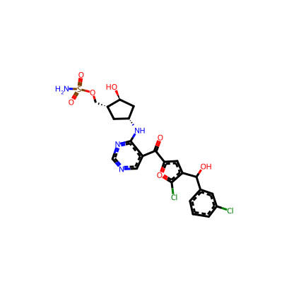 NS(=O)(=O)OC[C@H]1C[C@@H](Nc2ncncc2C(=O)c2cc(C(O)c3cccc(Cl)c3)c(Cl)o2)C[C@@H]1O